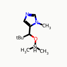 Cn1cncc1C(O[SiH](C)C)C(C)(C)C